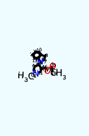 CCN1CC[C@@H](N2CCc3ccccc32)[C@@H](COC(C)=O)C1